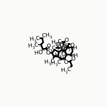 C=CC1O[C@H]2C[C@H]3OC[C@@]3(OC(C)=O)[C@H]3[C@H](C)[C@]4(C(C)(C)O)CC(OC(=O)[C@H](O)[C@@H](C)CC(C)C)C(C)=C4[C@H](C)[C@H](O1)[C@]23C